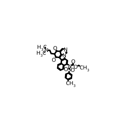 CCOC(=O)N(c1cc2c(c3c4c(cncn42)C(=O)C(CCN(C)C)C3=O)c2ccccc12)S(=O)(=O)c1ccc(C)cc1